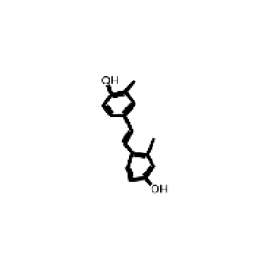 Cc1cc(C=Cc2ccc(O)cc2C)ccc1O